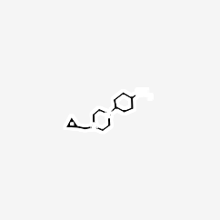 CC1CCC(N2CCN(CC3CC3)CC2)CC1